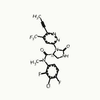 CC#Cc1nnc(N2C(=O)NC[C@H]2C(=O)N(C)c2ccc(F)c(Cl)c2F)cc1C(F)(F)F